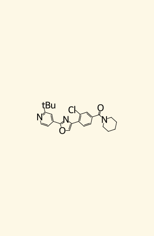 CC(C)(C)c1cc(-c2nc(-c3ccc(C(=O)N4CCCCC4)cc3Cl)co2)ccn1